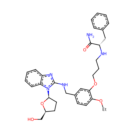 CCOc1ccc(CNc2nc3ccccc3n2[C@H]2CC[C@@H](CO)O2)cc1OCCCN[C@@H](Cc1ccccc1)C(N)=O